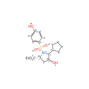 CCOC(=O)[C@H]1C[C@H](O)C(C2CCCC2)N1S(=O)(=O)c1ccc(O)cc1